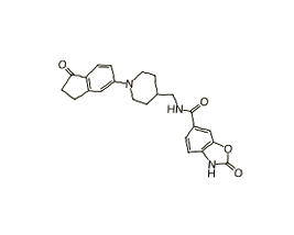 O=C(NCC1CCN(c2ccc3c(c2)CCC3=O)CC1)c1ccc2[nH]c(=O)oc2c1